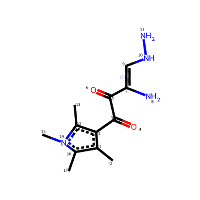 Cc1c(C(=O)C(=O)/C(N)=C/NN)c(C)n(C)c1C